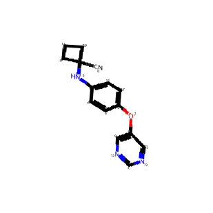 N#CC1(Nc2ccc(Oc3cncnc3)cc2)CCC1